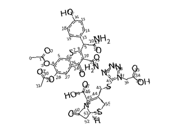 CC(=O)Oc1cc2sc(C(C(N)=O)c3ccc(O)cc3)c(C(N)=O)c(=O)c2cc1OC(C)=O.O=C(O)Cn1nnnc1SCC1=C(C(=O)O)N2C(=O)C[C@@H]2SC1